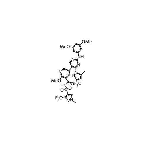 COc1cc(Nc2ncc(-c3cnc(OC)c(C(=O)NS(=O)(=O)c4cn(C)nc4C(F)(F)F)c3)c(-n3nc(C(F)(F)F)cc3C)n2)cc(OC)c1